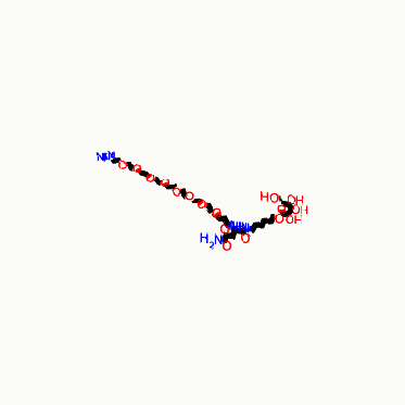 [N-]=[N+]=NCCOCCOCCOCCOCCOCCOCCOCCOCCC(=O)NC(CCC(N)=O)C(=O)NCCCCCCO[C@H]1O[C@H](CO)[C@@H](O)C(O)C1O